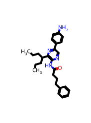 CCCC(CCC)c1nc(-c2ccc(N)cc2)cnc1NC(=O)CCCc1ccccc1